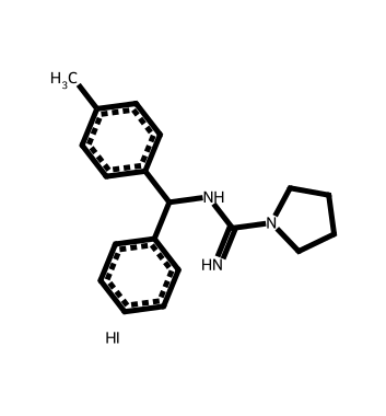 Cc1ccc(C(NC(=N)N2CCCC2)c2ccccc2)cc1.I